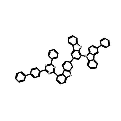 C1=CC(c2cc(-n3c4ccccc4c4cc(-c5ccccc5)ccc43)c3oc4ccccc4c3c2)Cc2oc3cccc(-c4nc(-c5ccccc5)nc(-c5ccc(-c6ccccc6)cc5)n4)c3c21